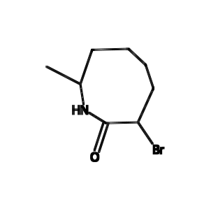 CC1CCCCC(Br)C(=O)N1